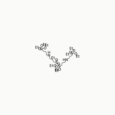 CCO[Si](CCCNCCC[Si](OCC)(OCC)O[Si](CCCNCCC[Si](OCC)(OCC)OCC)(OCC)OCC)(OCC)OCC